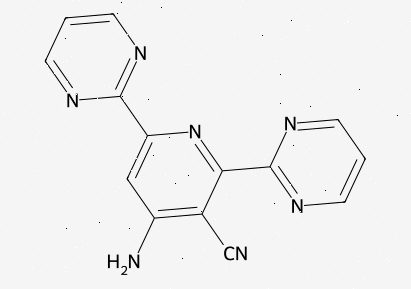 N#Cc1c(N)cc(-c2ncccn2)nc1-c1ncccn1